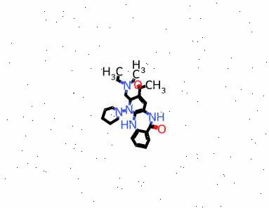 CCN(CC)CC1C(C(C)=O)=CC2=C(Nc3ccccc3C(=O)N2)N1N1CCCCC1